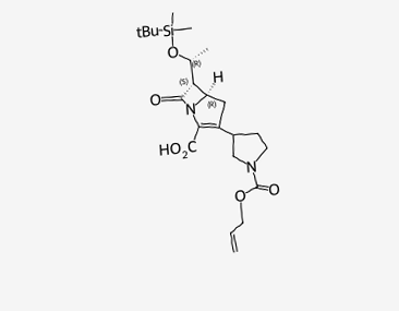 C=CCOC(=O)N1CCC(C2=C(C(=O)O)N3C(=O)[C@H]([C@@H](C)O[Si](C)(C)C(C)(C)C)[C@H]3C2)C1